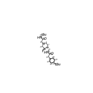 CC(C)(C)NC(=O)CN1CC[C@H](CNC(=O)Cc2ccc(C(C)(C)C)cc2)[C@H](F)C1